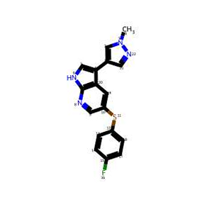 Cn1cc(-c2c[nH]c3ncc(Sc4ccc(F)cc4)cc23)cn1